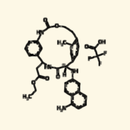 CCOC(=O)CC1NC(=O)[C@@H](Nc2ccc3c(N)cccc3c2)c2ccc(c(C)c2)CCOC(=O)Nc2cccc1c2.O=C(O)C(F)(F)F